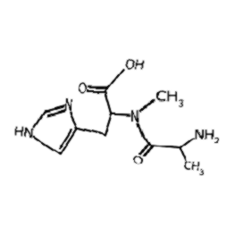 CC(N)C(=O)N(C)C(Cc1c[nH]cn1)C(=O)O